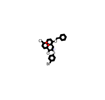 O=C(/C(=C\c1ccccc1OCc1ccccc1)Sc1ccc(Br)cc1)c1ccc(Cl)cc1